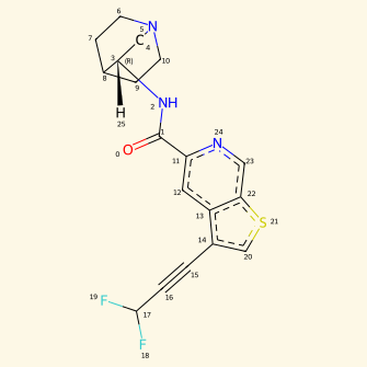 O=C(N[C@H]1CN2CCC1CC2)c1cc2c(C#CC(F)F)csc2cn1